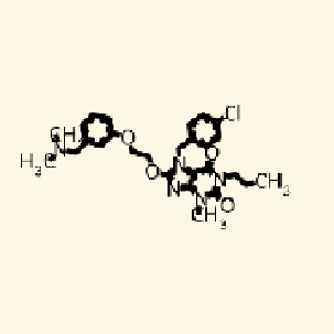 CCCn1c(=O)c2c(nc(OCCOc3cccc(CN(C)C)c3)n2Cc2ccc(Cl)cc2)n(C)c1=O